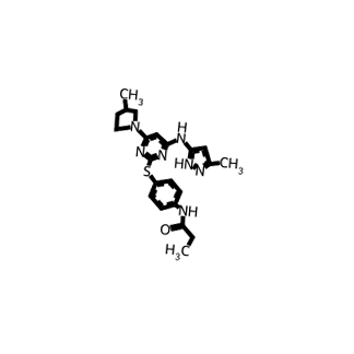 CCC(=O)Nc1ccc(Sc2nc(Nc3cc(C)n[nH]3)cc(N3CCC(C)C3)n2)cc1